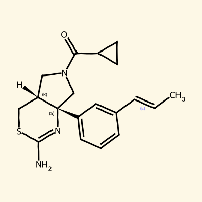 C/C=C/c1cccc([C@]23CN(C(=O)C4CC4)C[C@H]2CSC(N)=N3)c1